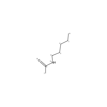 CCCC[CH]NC(C)=O